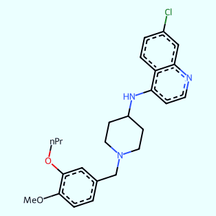 CCCOc1cc(CN2CCC(Nc3ccnc4cc(Cl)ccc34)CC2)ccc1OC